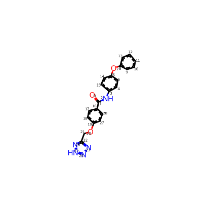 O=C(Nc1ccc(Oc2ccccc2)cc1)c1ccc(OCc2nn[nH]n2)cc1